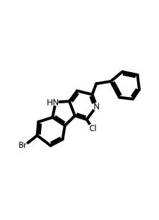 Clc1nc(Cc2ccccc2)cc2[nH]c3cc(Br)ccc3c12